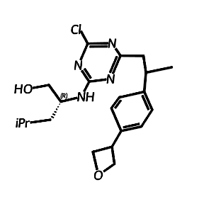 CC(C)C[C@H](CO)Nc1nc(Cl)nc(CC(C)c2ccc(C3COC3)cc2)n1